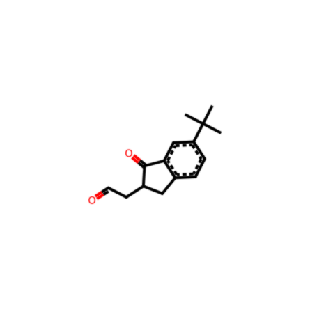 CC(C)(C)c1ccc2c(c1)C(=O)C(CC=O)C2